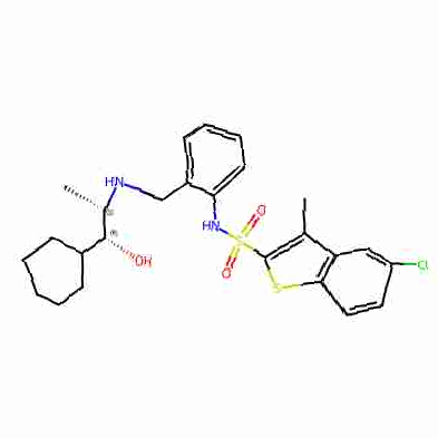 Cc1c(S(=O)(=O)Nc2ccccc2CN[C@@H](C)[C@H](O)C2CCCCC2)sc2ccc(Cl)cc12